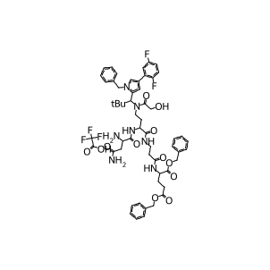 CC(C)(C)C(c1cc(-c2cc(F)ccc2F)cn1Cc1ccccc1)N(CCC(NC(=O)C(N)CC(N)=O)C(=O)NCCC(=O)NC(CCC(=O)OCc1ccccc1)C(=O)OCc1ccccc1)C(=O)CO.O=C(O)C(F)(F)F